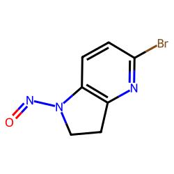 O=NN1CCc2nc(Br)ccc21